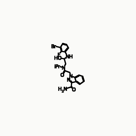 CC(C)N(CC(O)Nc1cccc(Br)c1F)C(=O)Cn1nc(C(N)=O)c2ccccc21